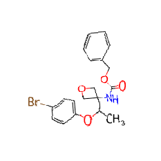 CC(Oc1ccc(Br)cc1)C1(NC(=O)OCc2ccccc2)COC1